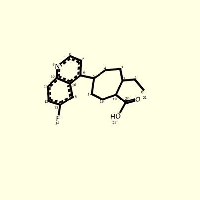 CCC1CCC(c2ccnc3ccc(F)cc23)CCC1C(=O)O